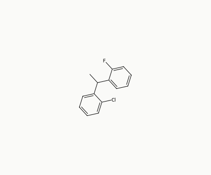 C[C](c1ccccc1F)c1ccccc1Cl